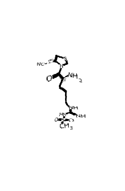 CS(=O)(=O)NC(=N)NCCC[C@H](N)C(=O)N1CSC[C@H]1C#N